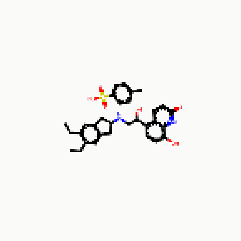 CCc1cc2c(cc1CC)CC(NCC(O)c1ccc(O)c3[nH]c(=O)ccc13)C2.Cc1ccc(S(=O)(=O)O)cc1